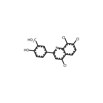 O=C(O)c1cc(-c2cc(Cl)c3ccc(Cl)c(Cl)c3n2)ccc1O